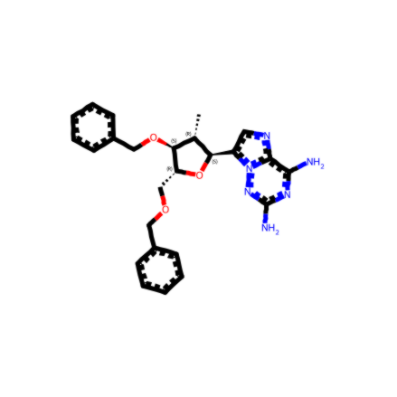 C[C@H]1[C@H](OCc2ccccc2)[C@@H](COCc2ccccc2)O[C@@H]1c1cnc2c(N)nc(N)nn12